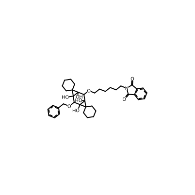 O=C1c2ccccc2C(=O)N1CCCCCCOC1C2(O)C3(CCCCC3)C2(O)C(OCc2ccccc2)C2(O)C3(CCCCC3)C12O